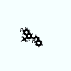 CC(C)(C)c1cc(-c2ccc3ccccc3n2)cc2ccc(F)cc12